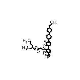 CCCCC(CC)COC(=O)CCSc1c(-c2ccc(C3=CCC(C4CCC(CCC)CC4)CC3)c(F)c2F)ccc(C(F)(F)F)c1F